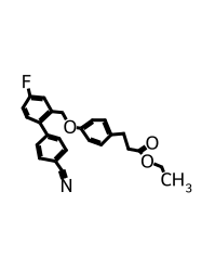 CCOC(=O)CCc1ccc(OCc2cc(F)ccc2-c2ccc(C#N)cc2)cc1